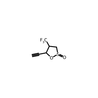 C#CC1OS(=O)CC1C(F)(F)F